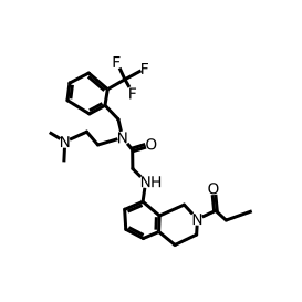 CCC(=O)N1CCc2cccc(NCC(=O)N(CCN(C)C)Cc3ccccc3C(F)(F)F)c2C1